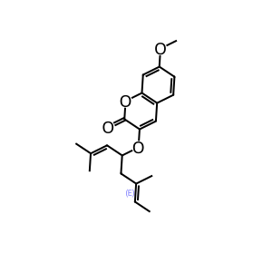 C/C=C(\C)CC(C=C(C)C)Oc1cc2ccc(OC)cc2oc1=O